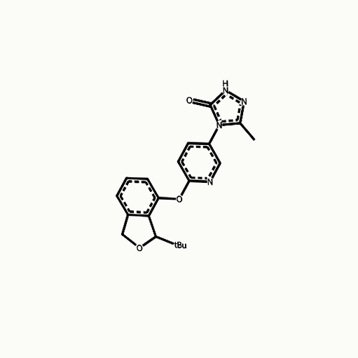 Cc1n[nH]c(=O)n1-c1ccc(Oc2cccc3c2C(C(C)(C)C)OC3)nc1